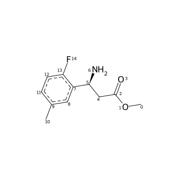 COC(=O)C[C@H](N)c1cc(C)ccc1F